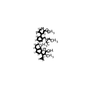 CCN(CC)Cc1cc([C@H]2CCc3ccc(C(C4CC4)[C@H](C)C(=O)O)cc3O2)ccc1-c1cc(OC)ncc1F